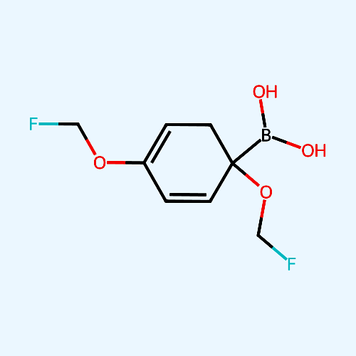 OB(O)C1(OCF)C=CC(OCF)=CC1